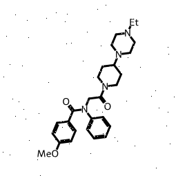 CCN1CCN(C2CCN(C(=O)CN(C(=O)c3ccc(OC)cc3)c3ccccc3)CC2)CC1